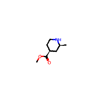 COC(=O)[C@H]1CCN[C@@H](C)C1